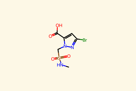 CNS(=O)(=O)Cn1nc(Br)cc1C(=O)O